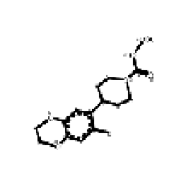 Cc1cc2c(cc1C1CCN(C(=O)OC(C)(C)C)CC1)OCCO2